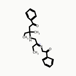 CC/C(CNC(C)(CC)CC(=O)c1ccccc1)=N\CC(=O)c1ccccc1